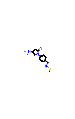 CSNCc1ccc(N2CC(N)CC2=O)cc1